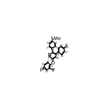 CSc1ccc(-c2nnc(Oc3ccc(F)cc3F)cc2-c2ccc(F)cc2)cc1